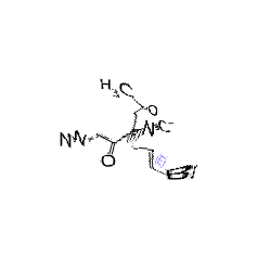 [C-]#[N+][C@](C/C=C/Br)(CC(C)=O)C(=O)C=[N+]=[N-]